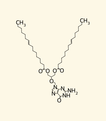 CCCCCCC=CCCCCCCCC(=O)OCC(COC(=O)CCCCCCCC=CCCCCCC)OCn1cnc2c(=O)[nH]c(N)nc21